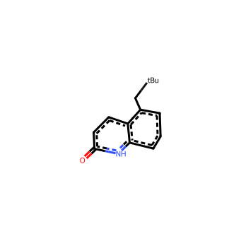 CC(C)(C)Cc1cccc2[nH]c(=O)ccc12